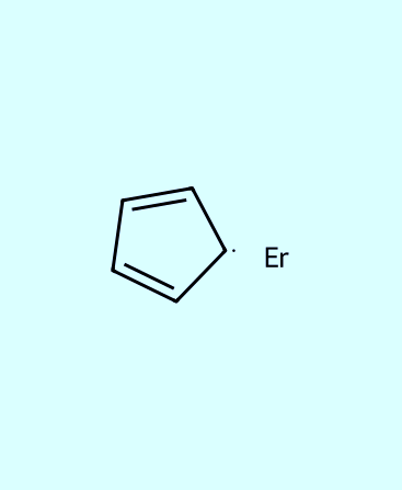 [CH]1C=CC=C1.[Er]